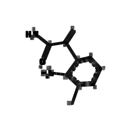 C=C(C(N)=O)c1cccc(C)c1N